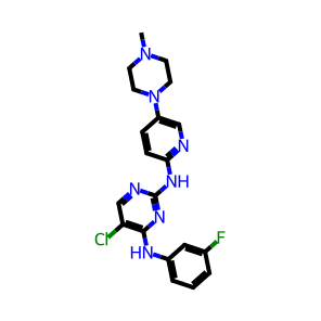 CN1CCN(c2ccc(Nc3ncc(Cl)c(Nc4cccc(F)c4)n3)nc2)CC1